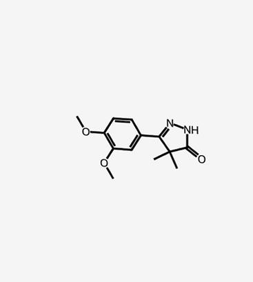 COc1ccc(C2=NNC(=O)C2(C)C)cc1OC